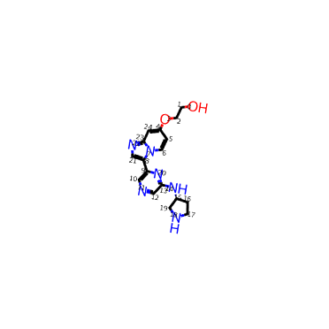 OCCOc1ccn2c(-c3cncc(N[C@@H]4CCNC4)n3)cnc2c1